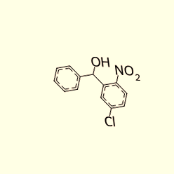 O=[N+]([O-])c1ccc(Cl)cc1C(O)c1ccccc1